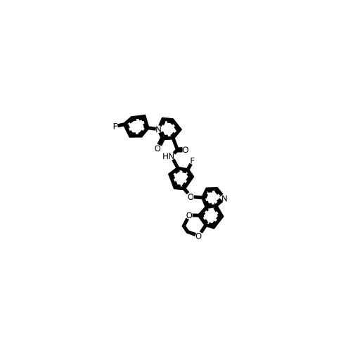 O=C(Nc1ccc(Oc2ccnc3ccc4c(c23)OCCO4)cc1F)c1cccn(-c2ccc(F)cc2)c1=O